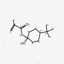 C=C(C)C(=O)OC1(O)CCC(C(C)(C)C)CC1